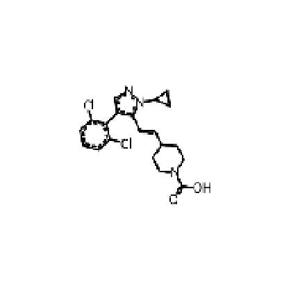 O=C(O)N1CCC(C=Cc2c(-c3c(Cl)cccc3Cl)cnn2C2CC2)CC1